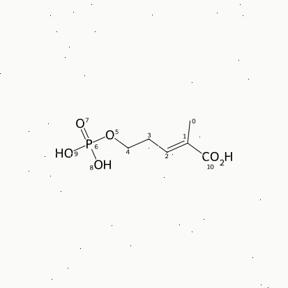 CC(=CCCOP(=O)(O)O)C(=O)O